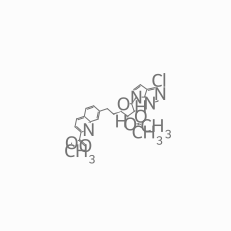 COC(=O)c1ccc2ccc(CC[C@H]3O[C@@H](n4ccc5c(Cl)ncnc54)[C@@H]4OC(C)(C)O[C@@H]43)cc2n1